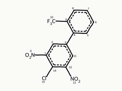 O=[N+]([O-])c1cc(-c2ccccc2C(F)(F)F)cc([N+](=O)[O-])c1Cl